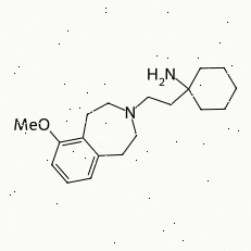 COc1cccc2c1CCN(CCC1(N)CCCCC1)CC2